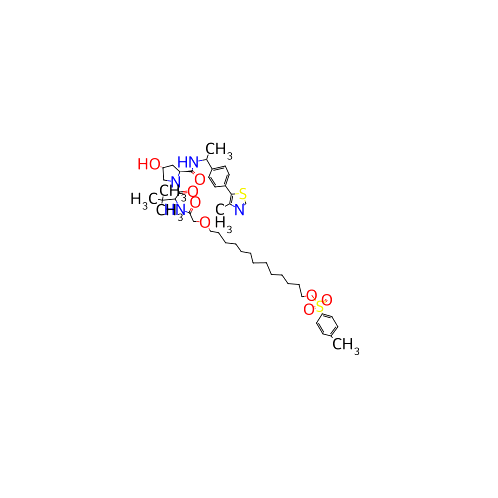 Cc1ccc(S(=O)(=O)OCCCCCCCCCCCCCOCC(=O)NC(C(=O)N2C[C@H](O)C[C@H]2C(=O)NC(C)c2ccc(-c3scnc3C)cc2)C(C)(C)C)cc1